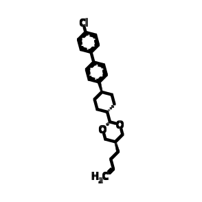 C=CCC[C@H]1CO[C@H]([C@H]2CC[C@H](c3ccc(-c4ccc(Cl)cc4)cc3)CC2)OC1